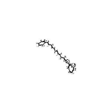 C(CCCCCCC1CCCCC1)CCCCCOC1CCCCO1